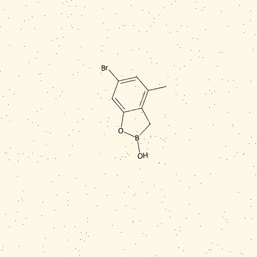 Cc1cc(Br)cc2c1CB(O)O2